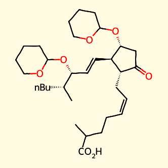 CCCC[C@@H](C)[C@@H](/C=C/[C@H]1[C@H](OC2CCCCO2)CC(=O)[C@@H]1C/C=C\CCC(C)C(=O)O)OC1CCCCO1